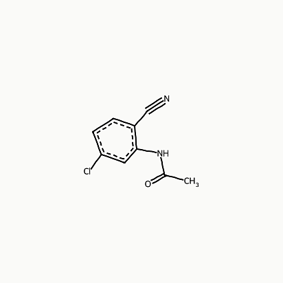 CC(=O)Nc1cc(Cl)ccc1C#N